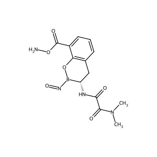 CN(C)C(=O)C(=O)N[C@H]1Cc2cccc(C(=O)ON)c2OB1N=O